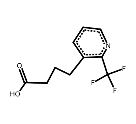 O=C(O)CCCc1cccnc1C(F)(F)F